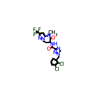 CN1C(=O)[C@H](NC(=O)c2ncn(Cc3cccc(Cl)c3Cl)n2)CCn2nc(C(F)(F)F)cc21